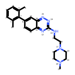 Cc1cccc(C)c1-c1ccc2nc(NCCN3CCN(C)CC3)nnc2c1